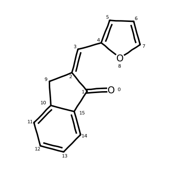 O=C1/C(=C\c2ccco2)Cc2ccccc21